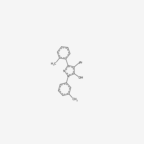 Cc1cccc(-n2nc(-c3ccccc3C)c(C(C)C)c2O)c1